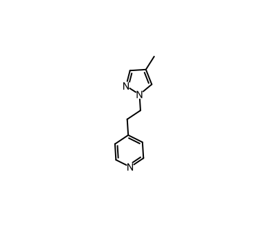 Cc1cnn(CCc2ccncc2)c1